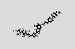 CCOc1cnc(N2CCC(CCCOc3cc(F)c(CC(=O)N4CC[C@@H](CNCC(O)C(O)C(O)C(O)CO)C4)c(F)c3)CC2)nc1